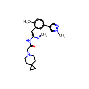 C=N/C(=C\c1cc(-c2cnn(C)c2)ccc1C)NC(=O)CN1CCC2(CC1)CC2